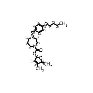 C=C1OC(OC(=O)N2CCCN(Sc3ccc(OCCCC)cc3)CC2)C=C1C